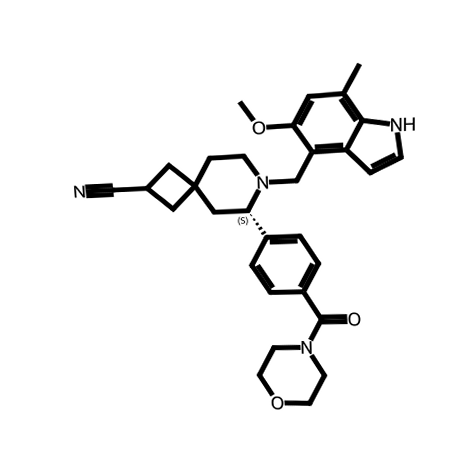 COc1cc(C)c2[nH]ccc2c1CN1CCC2(CC(C#N)C2)C[C@H]1c1ccc(C(=O)N2CCOCC2)cc1